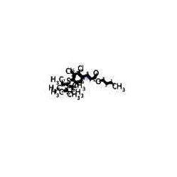 CCCCOC(=O)/C=C/c1ccc(S[Si](C(C)C)(C(C)C)C(C)C)c(Cl)c1Cl